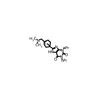 CCCn1c(=O)c2[nH]c(C34CCC(CN(C)C)(CC3)CC4)nc2n(CCC)c1=O